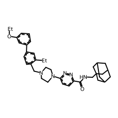 CCOc1cccc(-c2ccc(CN3CCN(c4ccc(C(=O)NCC56CC7CC(CC(C7)C5)C6)nn4)CC3)c(CC)c2)c1